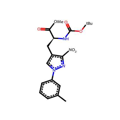 COC(=O)[C@H](Cc1cn(-c2cccc(C)c2)nc1[N+](=O)[O-])NC(=O)OC(C)(C)C